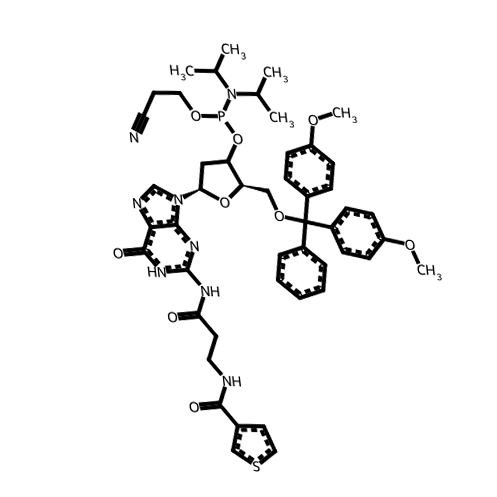 COc1ccc(C(OC[C@H]2O[C@@H](n3cnc4c(=O)[nH]c(NC(=O)CCNC(=O)c5ccsc5)nc43)CC2OP(OCCC#N)N(C(C)C)C(C)C)(c2ccccc2)c2ccc(OC)cc2)cc1